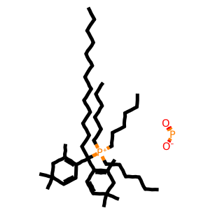 CCCCCCCCCCCCCC(C1=C(C)CC(C)(C)C=C1)(C1=C(C)CC(C)(C)C=C1)[P+](CCCCCC)(CCCCCC)CCCCCC.O=P[O-]